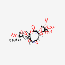 CO[C@@H]1[C@H](O)[C@@H](C)O[C@@H](OCC2[C@@H](C)OC(=O)/C=C/[C@H](C)[C@@H](OC3OC(C)C[C@](O)([C@H](C)O)[C@H]3O)[C@@H](C)C[C@@H](C)C(=O)/C=C/[C@H]3O[C@@H]23)[C@@H]1OC